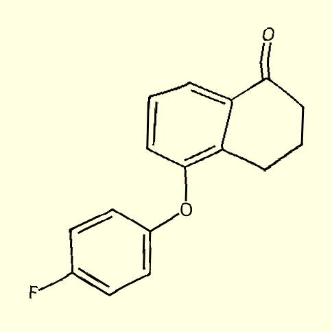 O=C1CCCc2c(Oc3ccc(F)cc3)cccc21